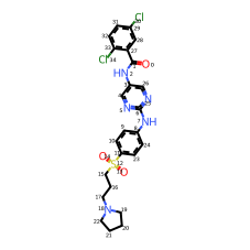 O=C(Nc1cnc(Nc2ccc(S(=O)(=O)CCCN3CCCC3)cc2)nc1)c1cc(Cl)ccc1Cl